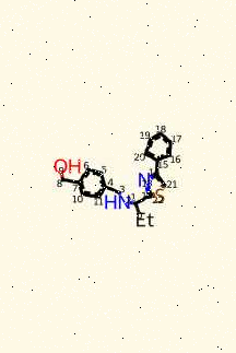 CCC(NCc1ccc(CO)cc1)c1nc(-c2ccccc2)cs1